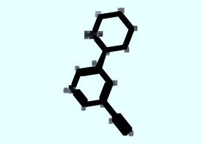 C#Cc1cncc([C@@H]2CCCCN2)c1